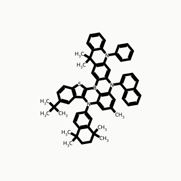 Cc1cc2c3c(c1)N(c1ccc4c(c1)C(C)(C)CCC4(C)C)c1c(sc4ccc(C(C)(C)C)cc14)B3c1cc3c(cc1N2c1cccc2ccccc12)N(c1ccccc1)c1ccccc1C3(C)C